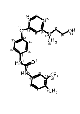 Cc1ccc(NC(=O)Nc2ccc(Oc3cc(N(C)CCO)ncn3)cc2)cc1C(F)(F)F